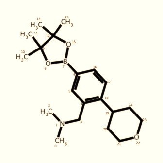 CN(C)Cc1cc(B2OC(C)(C)C(C)(C)O2)ccc1C1CCOCC1